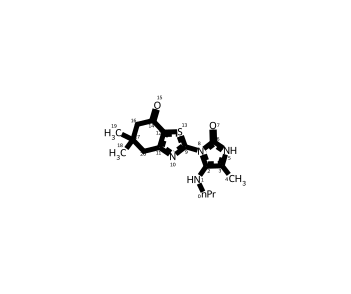 CCCNc1c(C)[nH]c(=O)n1-c1nc2c(s1)C(=O)CC(C)(C)C2